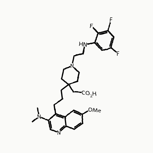 COc1ccc2ncc(N(C)C)c(CCCC3(CC(=O)O)CCN(CCNc4cc(F)cc(F)c4F)CC3)c2c1